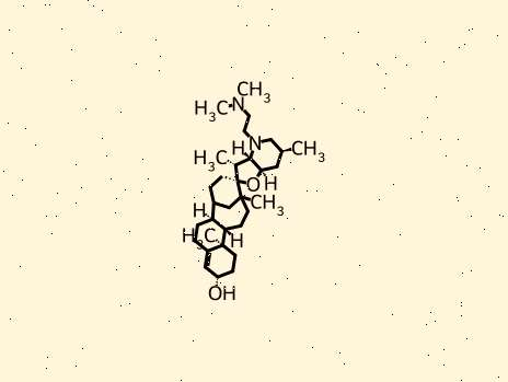 C[C@H]1C[C@H]2O[C@]3(CCC4CC3(C)CC[C@H]3[C@H]4CCC4=C[C@@H](O)CC[C@@]43C)[C@H](C)[C@@H]2N(CCN(C)C)C1